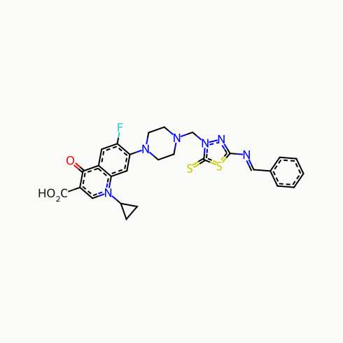 O=C(O)c1cn(C2CC2)c2cc(N3CCN(Cn4nc(N=Cc5ccccc5)sc4=S)CC3)c(F)cc2c1=O